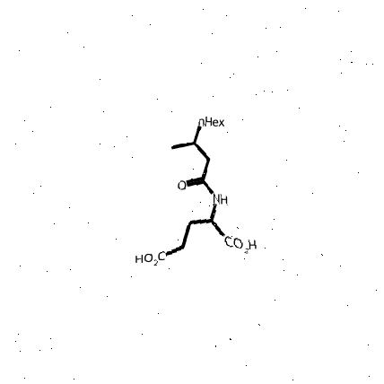 CCCCCCC(C)CC(=O)NC(CCC(=O)O)C(=O)O